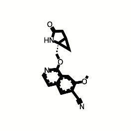 COc1cc2c(OC[C@@]34CC3CC(=O)N4)nccc2cc1C#N